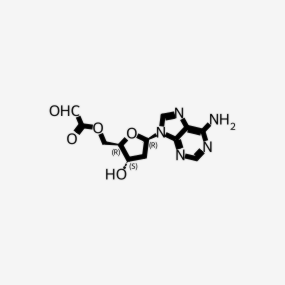 Nc1ncnc2c1ncn2[C@H]1C[C@H](O)[C@@H](COC(=O)C=O)O1